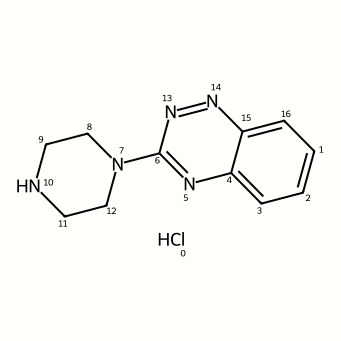 Cl.c1ccc2nc(N3CCNCC3)nnc2c1